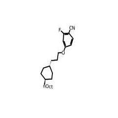 CCCCCCCC[C@H]1CC[C@H](CCCOc2ccc(C#N)c(F)c2)CC1